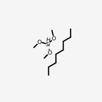 CCCCCCCC.CO[SiH](OC)OC